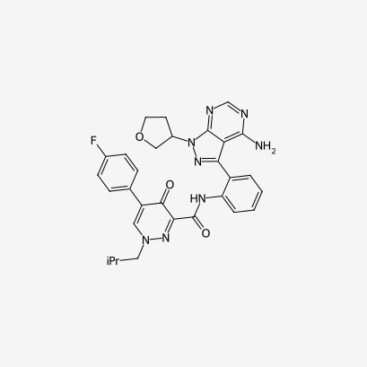 CC(C)Cn1cc(-c2ccc(F)cc2)c(=O)c(C(=O)Nc2ccccc2-c2nn(C3CCOC3)c3ncnc(N)c23)n1